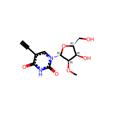 C#Cc1cn([C@@H]2O[C@H](CO)[C@@H](O)[C@H]2OC)c(=O)[nH]c1=O